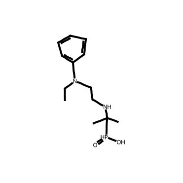 CCN(CCNC(C)(C)[PH](=O)O)c1ccccc1